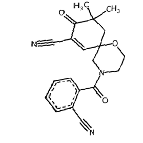 CC1(C)CC2(C=C(C#N)C1=O)CN(C(=O)c1ccccc1C#N)CCO2